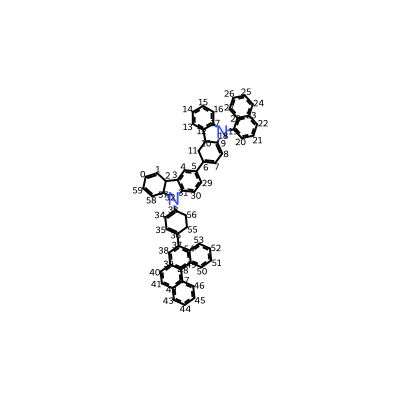 C1=CC2c3cc(C4=CC=C5C(C4)c4ccccc4N5c4cccc5ccccc45)ccc3N(C3=CC=C(c4cc5ccc6ccccc6c5c5ccccc45)CC3)C2C=C1